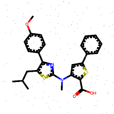 COc1ccc(-c2nc(N(C)c3cc(-c4ccccc4)sc3C(=O)O)sc2CC(C)C)cc1